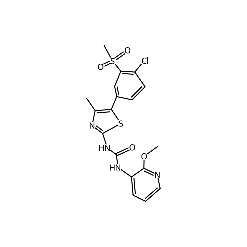 COc1ncccc1NC(=O)Nc1nc(C)c(-c2ccc(Cl)c(S(C)(=O)=O)c2)s1